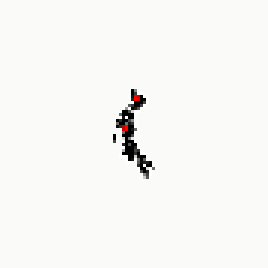 Cc1c(C)n(CCCN2CCN(C)CC2)c2ccc(Nc3cccc(C(=O)N4CCN(CCc5cccc(F)c5)CC4)c3)cc12